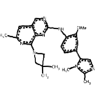 COc1cc(-c2cnc(C)n2C)ccc1Nc1ncc2cc(C)nc(N3CC(C)(C)C3)c2n1